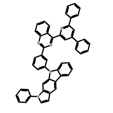 c1ccc(-c2cc(-c3ccccc3)nc(-c3nc(-c4cccc(-n5c6ccccc6c6cc7ccn(-c8ccccc8)c7cc65)c4)nc4ccccc34)c2)cc1